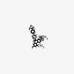 Cc1cc(F)ccc1-c1ccc(S(C)(=O)=O)cc1C(=O)N1CCN(c2ccc(C(F)(F)F)cc2)CC1